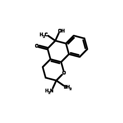 BC1(N)CCC2=C(O1)c1ccccc1C(C)(O)C2=O